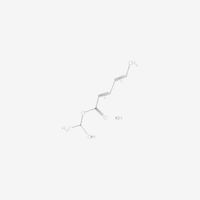 C/C=C/C=C/C(=O)OC(C)O.[KH]